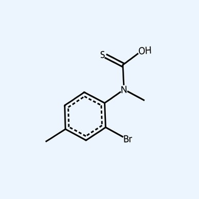 Cc1ccc(N(C)C(O)=S)c(Br)c1